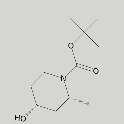 C[C@@H]1C[C@H](O)CCN1C(=O)OC(C)(C)C